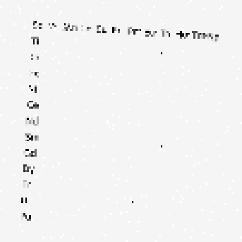 [Ce].[Co].[Cr].[Cu].[Dy].[Er].[Eu].[Fe].[Gd].[Ho].[Mn].[Nd].[Ni].[Np].[Pm].[Pr].[Pu].[Sc].[Sm].[Tb].[Ti].[Tm].[U].[V]